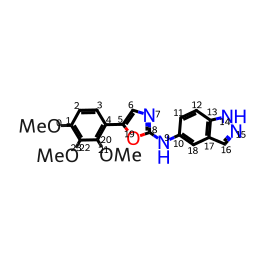 COc1ccc(-c2cnc(Nc3ccc4[nH]ncc4c3)o2)c(OC)c1OC